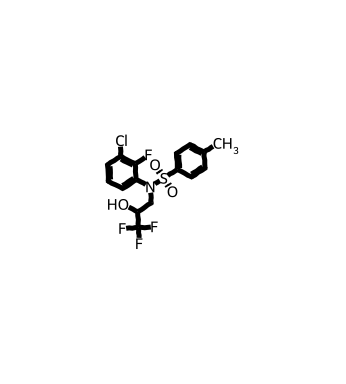 Cc1ccc(S(=O)(=O)N(CC(O)C(F)(F)F)c2cccc(Cl)c2F)cc1